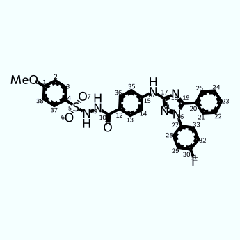 COc1ccc(S(=O)(=O)NNC(=O)c2ccc(Nc3nc(-c4ccccc4)n(-c4ccc(F)cc4)n3)cc2)cc1